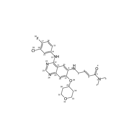 CN(C)C(=O)C=CCNc1cc2c(Nc3ccc(F)c(Cl)c3)ncnc2cc1OC1CCOCC1